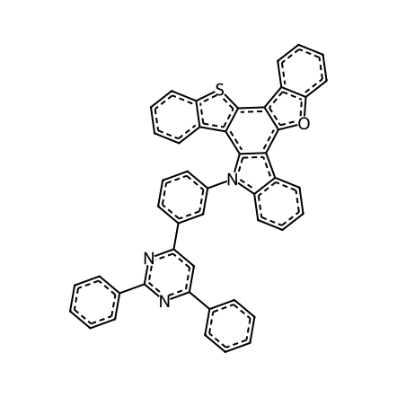 c1ccc(-c2cc(-c3cccc(-n4c5ccccc5c5c6oc7ccccc7c6c6sc7ccccc7c6c54)c3)nc(-c3ccccc3)n2)cc1